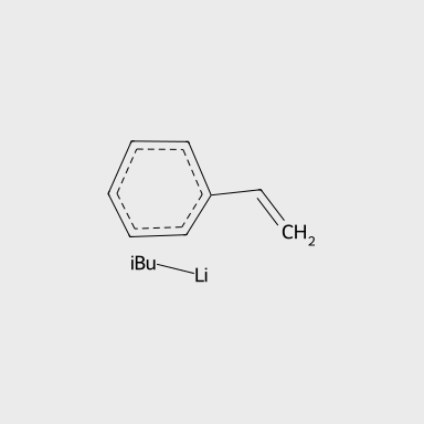 C=Cc1ccccc1.[Li][CH](C)CC